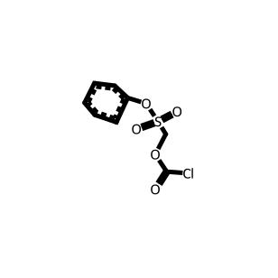 O=C(Cl)OCS(=O)(=O)Oc1ccccc1